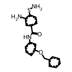 NSc1ccc(C(=O)Nc2cccc(OCc3ccccc3)c2)cc1N